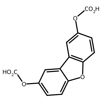 O=C(O)Oc1ccc2oc3ccc(OC(=O)O)cc3c2c1